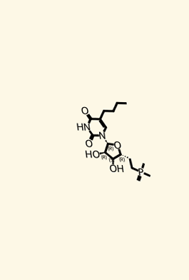 C=P(C)(C)CC[C@H]1O[C@@H](n2cc(CCCC)c(=O)[nH]c2=O)[C@H](O)[C@@H]1O